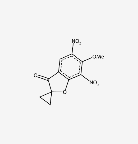 COc1c([N+](=O)[O-])cc2c(c1[N+](=O)[O-])OC1(CC1)C2=O